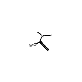 C=C(OC)N(C)C